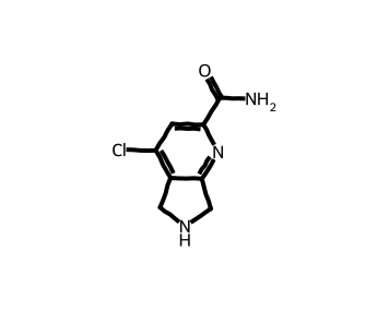 NC(=O)c1cc(Cl)c2c(n1)CNC2